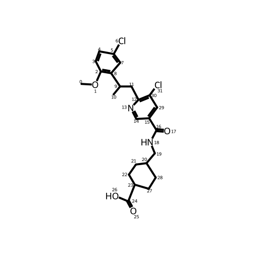 COc1ccc(Cl)cc1C(C)Cc1ncc(C(=O)NCC2CCC(C(=O)O)CC2)cc1Cl